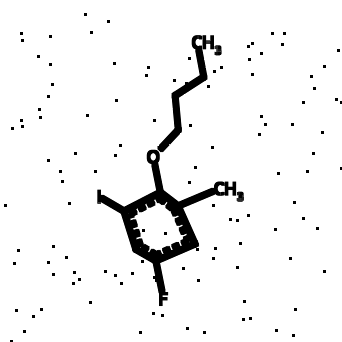 CCCCOc1c(C)cc(F)cc1I